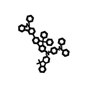 CC1(C)c2ccccc2C2C=CC(N(c3ccc(N(c4ccccc4)c4ccccc4)cc3)c3ccc4c(c3)C(c3ccccc3)(c3ccccc3)c3cc(-c5ccc6c(c5)c5ccccc5n6-c5ccccc5)ccc3-4)=CC21